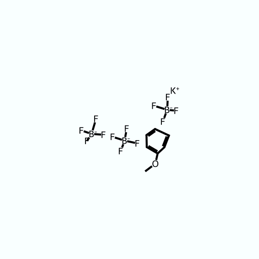 COc1ccccc1.F[B-](F)(F)F.F[B-](F)(F)F.F[B-](F)(F)F.[K+]